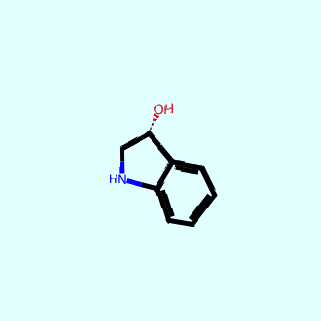 O[C@H]1CNc2ccccc21